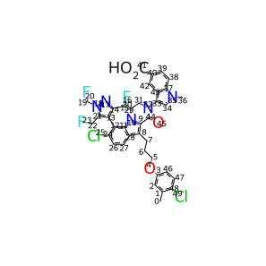 Cc1cc(OCCCc2c3n(c4c(-c5c(CF)nn(CF)c5CF)c(Cl)ccc24)[C@H](C)CN(c2cn(C)c4ccc(C(=O)O)cc24)C3=O)ccc1Cl